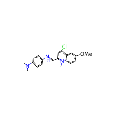 COc1ccc2c(c1)c(Cl)cc(/C=N/c1ccc(N(C)C)cc1)[n+]2C